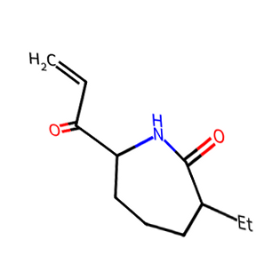 C=CC(=O)C1CCCC(CC)C(=O)N1